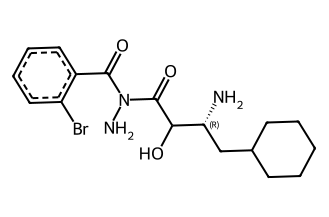 N[C@H](CC1CCCCC1)C(O)C(=O)N(N)C(=O)c1ccccc1Br